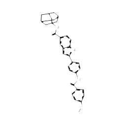 COc1ccc(C(=O)Nc2ccc(-c3cc4cc(C(=O)NC56CC7CC(CC(C7)C5)C6)ccc4[nH]3)cc2)cc1